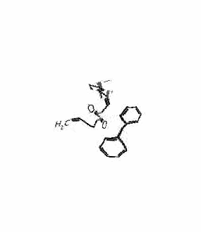 C=CCS(=O)(=O)C=[N+]=[N-].c1ccc(-c2ccccc2)cc1